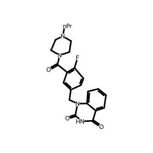 CCCN1CCN(C(=O)c2cc(Cn3c(=O)[nH]c(=O)c4ccccc43)ccc2F)CC1